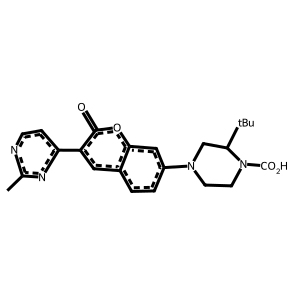 Cc1nccc(-c2cc3ccc(N4CCN(C(=O)O)C(C(C)(C)C)C4)cc3oc2=O)n1